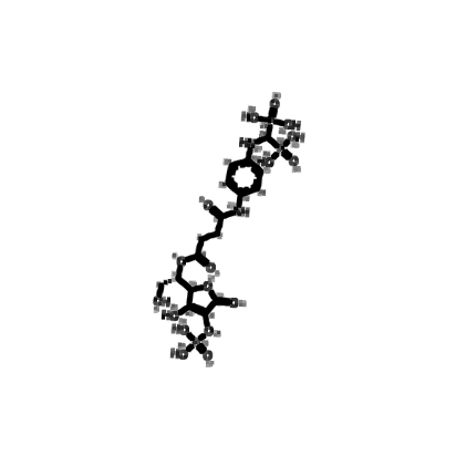 O=C(CCC(=O)O[C@@H](CO)C1OC(=O)C(OP(=O)(O)O)=C1O)Nc1ccc(NC(P(=O)(O)O)P(=O)(O)O)cc1